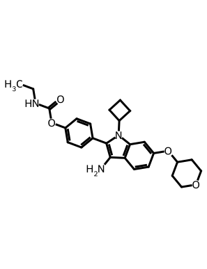 CCNC(=O)Oc1ccc(-c2c(N)c3ccc(OC4CCOCC4)cc3n2C2CCC2)cc1